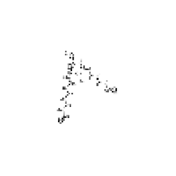 COC(C=CCCCCCC=O)OC(C=CCCCCCC=O)OC